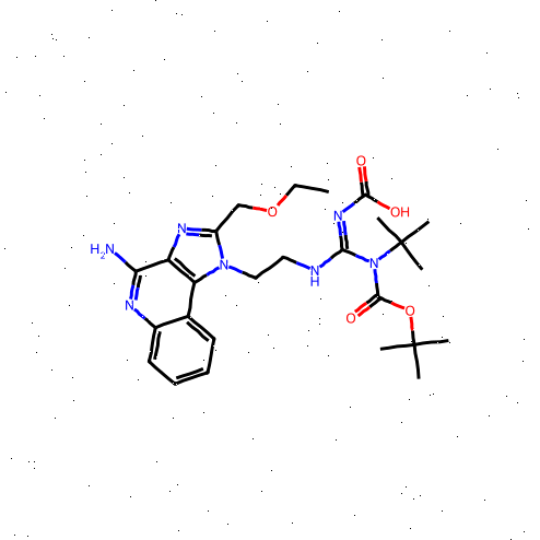 CCOCc1nc2c(N)nc3ccccc3c2n1CCNC(=NC(=O)O)N(C(=O)OC(C)(C)C)C(C)(C)C